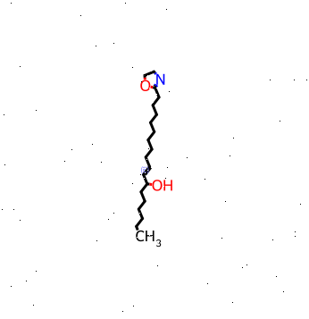 CCCCCCC(O)/C=C/CCCCCCCCC1=NCCO1